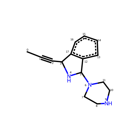 CC#CC1NC(N2CCNCC2)c2ccccc21